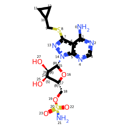 Nc1ncnc2c1c(SCC1CC1)nn2[C@@H]1O[C@H](COS(N)(=O)=O)[C@@H](O)[C@H]1O